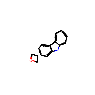 C1COC1.c1ccc2c(c1)[nH]c1ccccc12